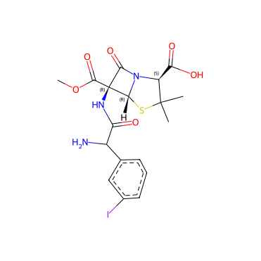 COC(=O)[C@]1(NC(=O)C(N)c2cccc(I)c2)C(=O)N2[C@@H](C(=O)O)C(C)(C)S[C@@H]21